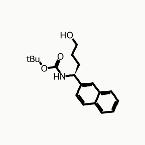 CC(C)(C)OC(=O)N[C@@H](CCCO)c1ccc2ccccc2c1